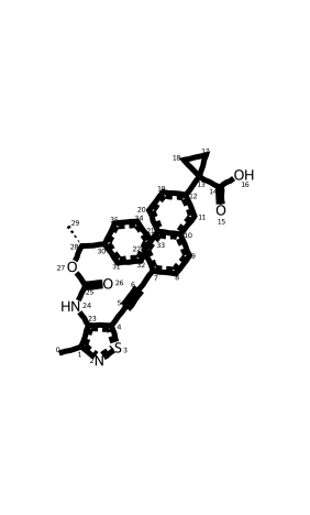 Cc1nsc(C#Cc2ccc3cc(C4(C(=O)O)CC4)ccc3c2)c1NC(=O)O[C@H](C)c1ccccc1